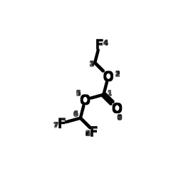 O=C(OCF)OC(F)F